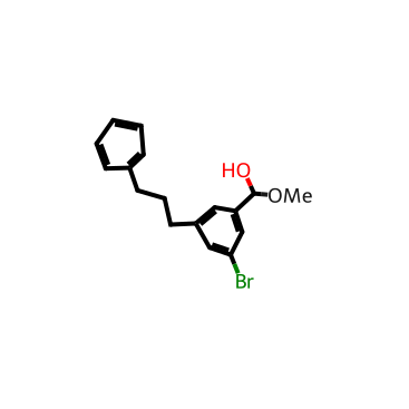 COC(O)c1cc(Br)cc(CCCc2ccccc2)c1